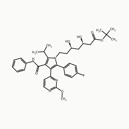 COc1nccc(-c2c(C(=O)Nc3ccccc3)c(C(C)C)n(CC[C@@H](O)C[C@@H](O)CC(=O)OC(C)(C)C)c2-c2ccc(F)cc2)n1